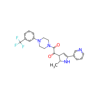 CC1NC(c2cccnc2)=CC1C(=O)C(=O)N1CCN(c2cccc(C(F)(F)F)c2)CC1